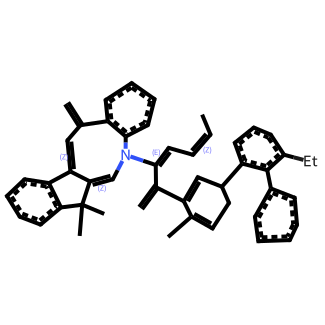 C=C(C1=CC(c2cccc(CC)c2-c2ccccc2)CC=C1C)/C(=C\C=C/C)N1/C=C2\C(=C/C(=C)c3ccccc31)c1ccccc1C2(C)C